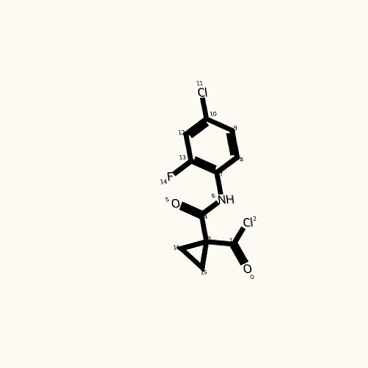 O=C(Cl)C1(C(=O)Nc2ccc(Cl)cc2F)CC1